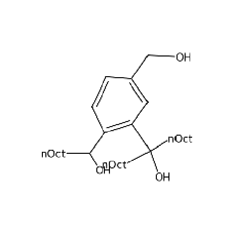 CCCCCCCCC(O)c1ccc(CO)cc1C(O)(CCCCCCCC)CCCCCCCC